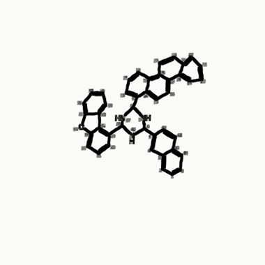 c1ccc2cc(C3NC(c4cccc5c4ccc4c6ccccc6ccc54)NC(c4cccc5oc6ccccc6c45)N3)ccc2c1